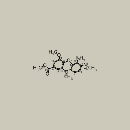 CNc1cccc(Oc2c(OC)cc(C(=O)OC)cc2OC)c1N